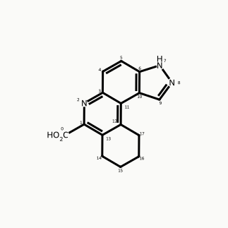 O=C(O)c1nc2ccc3[nH]ncc3c2c2c1CCCC2